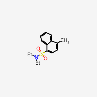 CCN(CC)S(=O)(=O)c1ccc(C)c2ccccc12